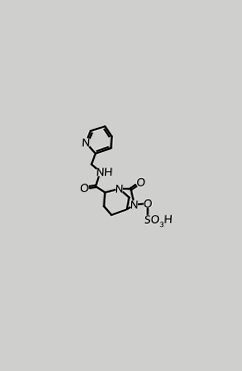 O=C(NCc1ccccn1)C1CCC2CN1C(=O)N2OS(=O)(=O)O